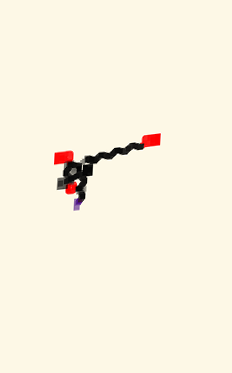 OCCCCCCC=C[C@@H]1[C@H]2C[C@@H](CI)O[C@@H]2C[C@H]1O